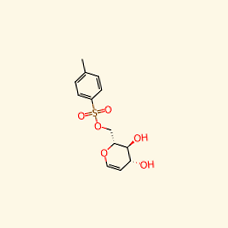 Cc1ccc(S(=O)(=O)OC[C@H]2OC=C[C@@H](O)[C@@H]2O)cc1